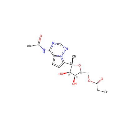 CCCCC(=O)Nc1ncnn2c([C@]3(C#N)O[C@H](COC(=O)CC(C)C)[C@@H](O)[C@H]3O)ccc12